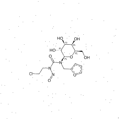 O=NN(CCCl)C(=O)N(Cc1ccco1)[C@@H]1O[C@H](CO)[C@H](O)[C@H](O)[C@H]1O